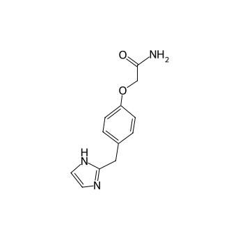 NC(=O)COc1ccc(Cc2ncc[nH]2)cc1